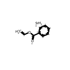 C=COC(=O)c1ccccc1.[SrH2]